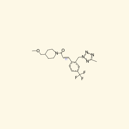 COCC1CCN(C(=O)/C=C/c2ccc(C(F)(F)F)cc2Cn2nnc(C)n2)CC1